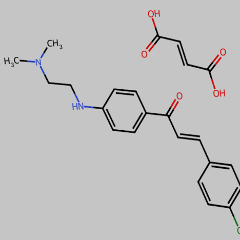 CN(C)CCNc1ccc(C(=O)/C=C/c2ccc(Cl)cc2)cc1.O=C(O)/C=C/C(=O)O